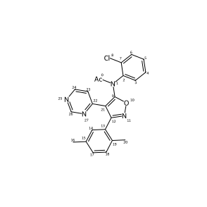 CC(=O)N(c1ccccc1Cl)c1onc(-c2cc(C)ccc2C)c1-c1ccncn1